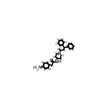 CC(CC(c1ccccc1)c1ccccc1)N1CCC(NC(=O)Cc2ccc(N)cc2)CC1